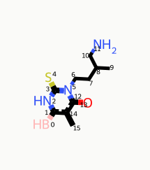 B=c1[nH]c(=S)n(CCC(C)CN)c(=O)c1=C